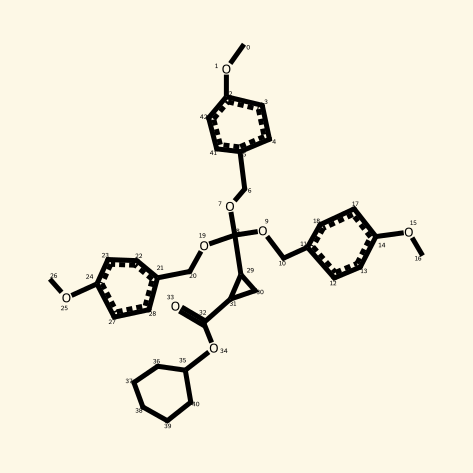 COc1ccc(COC(OCc2ccc(OC)cc2)(OCc2ccc(OC)cc2)C2CC2C(=O)OC2CCCCC2)cc1